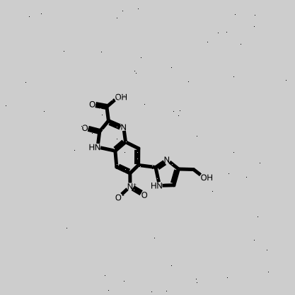 O=C(O)c1nc2cc(-c3nc(CO)c[nH]3)c([N+](=O)[O-])cc2[nH]c1=O